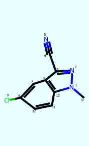 Cn1nc(C#N)c2cc(Cl)ccc21